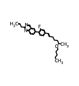 C=CCc1ncc2cc(-c3ccc(C=CCCCC(C)OCCCCC)cc3F)ccc2n1